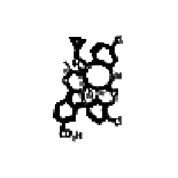 C[C@H]1Oc2c3ccc(C(=O)O)cc3nn2[C@H]2[C@@H]1N(CC1CC1)c1ccc(Cl)cc1NC(=O)[C@@H]2c1cccc(Cl)c1F